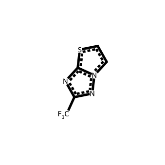 FC(F)(F)c1nc2sccn2n1